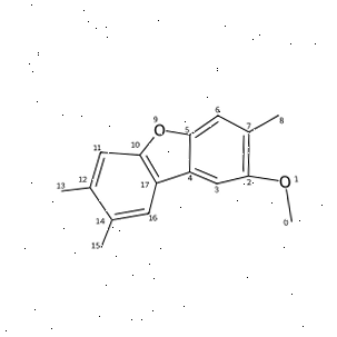 COc1cc2c(cc1C)oc1cc(C)c(C)cc12